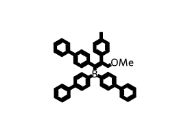 COC/C(=C(\B(c1ccc(-c2ccccc2)cc1)c1ccc(-c2ccccc2)cc1)c1ccc(-c2ccccc2)cc1)c1ccc(C)cc1